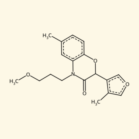 COCCCN1C(=O)C(c2cocc2C)Oc2ccc(C)cc21